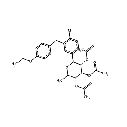 CCOc1ccc(Cc2cc([C@@H]3OC(C)[C@@H](OC(C)=O)[C@H](OC(C)=O)[C@H]3OC(C)=O)ccc2Cl)cc1